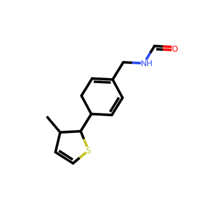 CC1C=CSC1C1C=CC(CNC=O)=CC1